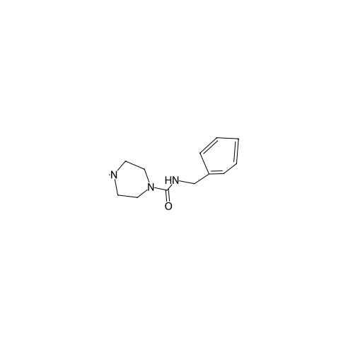 O=C(NCc1ccccc1)N1CC[N]CC1